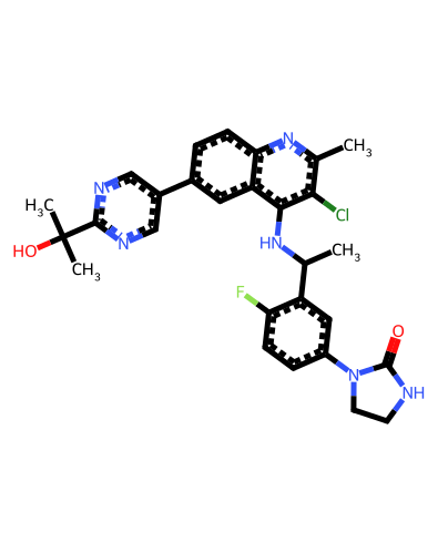 Cc1nc2ccc(-c3cnc(C(C)(C)O)nc3)cc2c(NC(C)c2cc(N3CCNC3=O)ccc2F)c1Cl